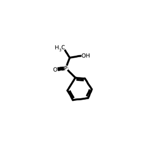 CC(O)[P](=O)c1ccccc1